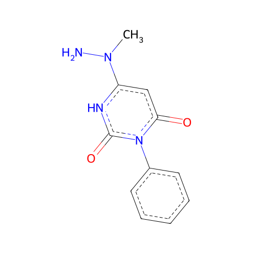 CN(N)c1cc(=O)n(-c2ccccc2)c(=O)[nH]1